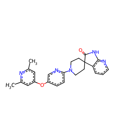 Cc1cc(Oc2ccc(N3CCC4(CC3)C(=O)Nc3ncccc34)nc2)cc(C)n1